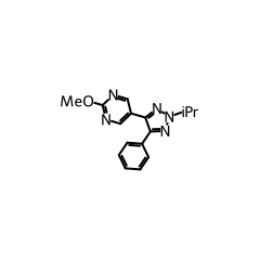 COc1ncc(-c2nn(C(C)C)nc2-c2ccccc2)cn1